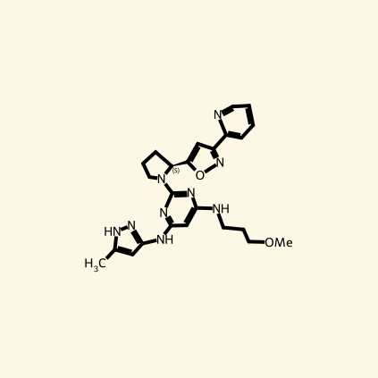 COCCCNc1cc(Nc2cc(C)[nH]n2)nc(N2CCC[C@H]2c2cc(-c3ccccn3)no2)n1